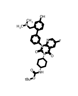 CN(C)Cc1cc(O)ccc1-c1cccc(-n2c(=O)n([C@H]3CC[C@@H](NC(=O)OC(C)(C)C)CC3)c(=O)c3cc(F)cnc32)c1